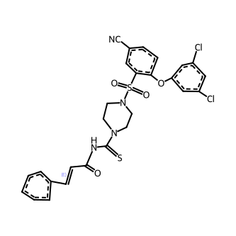 N#Cc1ccc(Oc2cc(Cl)cc(Cl)c2)c(S(=O)(=O)N2CCN(C(=S)NC(=O)/C=C/c3ccccc3)CC2)c1